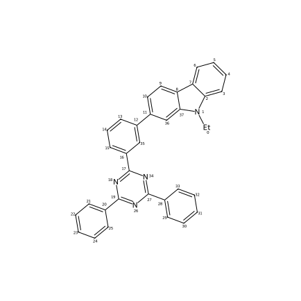 CCn1c2ccccc2c2ccc(-c3cccc(-c4nc(-c5ccccc5)nc(-c5ccccc5)n4)c3)cc21